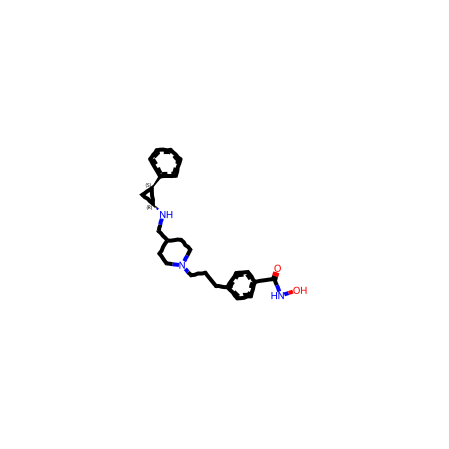 O=C(NO)c1ccc(CCCN2CCC(CN[C@@H]3C[C@H]3c3ccccc3)CC2)cc1